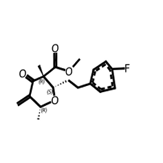 C=C1C(=O)[C@](C)(C(=O)OC)[C@H](CCc2ccc(F)cc2)O[C@@H]1C